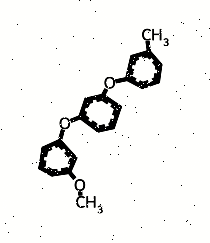 COc1cccc(Oc2cccc(Oc3cccc(C)c3)c2)c1